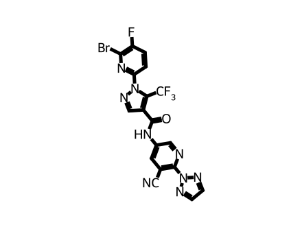 N#Cc1cc(NC(=O)c2cnn(-c3ccc(F)c(Br)n3)c2C(F)(F)F)cnc1-n1nccn1